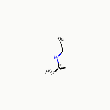 C[C@H](NCC(C)(C)C)C(=O)O